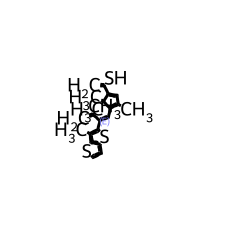 C=C(S)C1=CC(C)=C(/C=C(\C(=C)C)c2sc3ccsc3c2C)C1(C)C